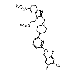 COCCn1c(CN2CCC(c3cccc(OCc4cc(F)c(Cl)cc4F)n3)CC2)nc2ccc(C(=O)O)cc21